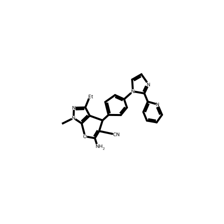 CCc1nn(C)c2c1C(c1ccc(-n3ccnc3-c3ccccn3)cc1)C(C#N)=C(N)O2